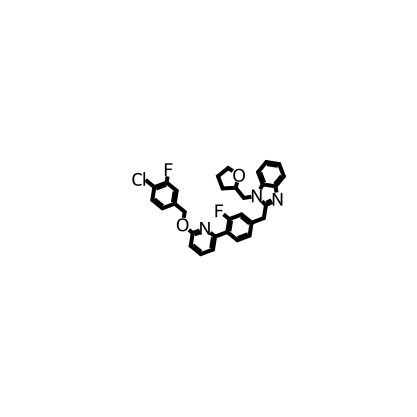 Fc1cc(COc2cccc(-c3ccc(Cc4nc5ccccc5n4CC4CCCO4)cc3F)n2)ccc1Cl